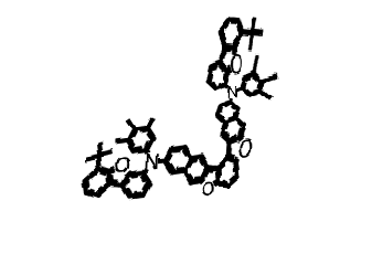 Cc1cc(N(c2ccc3cc4c(cc3c2)oc2ccc3oc5cc6cc(N(c7cc(C)c(C)c(C)c7)c7cccc8c7oc7c(C(C)(C)C)cccc78)ccc6cc5c3c24)c2cccc3c2oc2c(C(C)(C)C)cccc23)cc(C)c1C